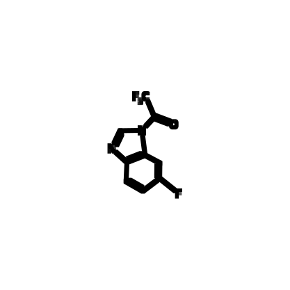 O=C(n1cnc2ccc(F)cc21)C(F)(F)F